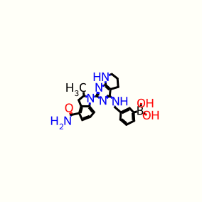 CC1Cc2c(C(N)=O)cccc2N1c1nc2c(c(NCc3cccc(B(O)O)c3)n1)CCCN2